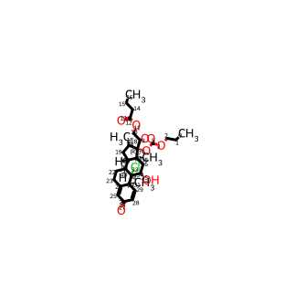 CCCOC(=O)O[C@]1(C(=O)COC(=O)CCC)[C@H](C)C[C@H]2[C@@H]3CCC4=CC(=O)C=C[C@]4(C)[C@@]3(Cl)C(O)C[C@@]21C